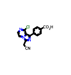 N#CCc1nc(-c2ccc(C(=O)O)cc2)c2c(Cl)nccn12